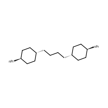 CCC[C@H]1CC[C@H](CCCC[C@H]2CC[C@H](CCC)CC2)CC1